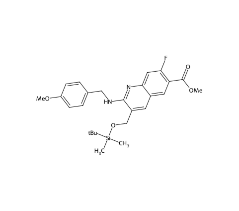 COC(=O)c1cc2cc(CO[Si](C)(C)C(C)(C)C)c(NCc3ccc(OC)cc3)nc2cc1F